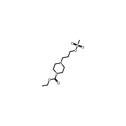 CCOC(=O)N1CCN(CCCOS(C)(=O)=O)CC1